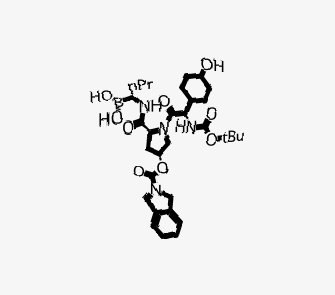 CCC[C@H](NC(=O)[C@@H]1C[C@@H](OC(=O)N2Cc3ccccc3C2)CN1C(=O)[C@@H](NC(=O)OC(C)(C)C)C1CCC(O)CC1)B(O)O